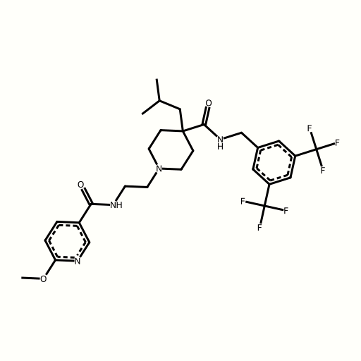 COc1ccc(C(=O)NCCN2CCC(CC(C)C)(C(=O)NCc3cc(C(F)(F)F)cc(C(F)(F)F)c3)CC2)cn1